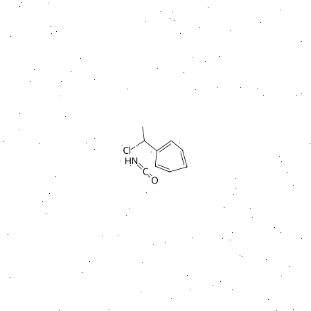 CC(Cl)c1ccccc1.N=C=O